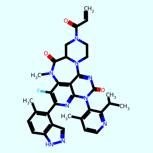 C=CC(=O)N1CCN2c3nc(=O)n(-c4c(C)ccnc4C(C)C)c4nc(-c5c(C)ccc6[nH]ncc56)c(F)c(c34)N(C)C(=O)C2C1